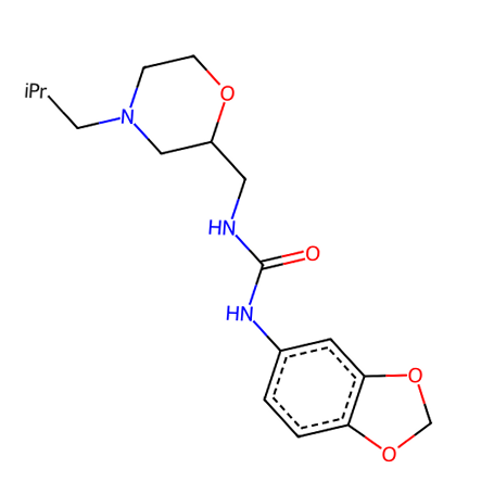 CC(C)CN1CCOC(CNC(=O)Nc2ccc3c(c2)OCO3)C1